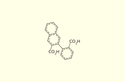 O=C(O)c1ccccc1-c1cc2ccccc2cc1C(=O)O